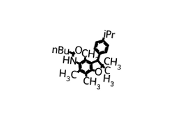 CCCCC(=O)Nc1c(C)c(C)c2c(c1C)C(c1ccc(C(C)C)cc1)C(C)(C)O2